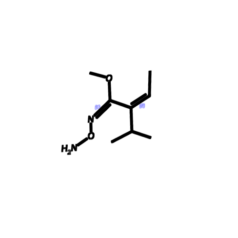 C/C=C(\C(=N/ON)OC)C(C)C